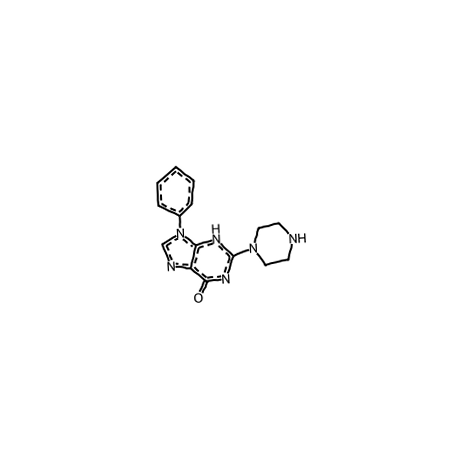 O=c1nc(N2CCNCC2)[nH]c2c1ncn2-c1ccccc1